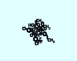 CCC[C@@H]1C[C@@H](C(=O)N[C@@H]([C@H]2O[C@H](SC)[C@H](O)[C@@H](O)[C@H]2O)[C@H](C)Cl)N(C)C1.O=C(Nc1ccc(Cl)cc1)Nc1ccc(Cl)c(C(F)(F)F)c1